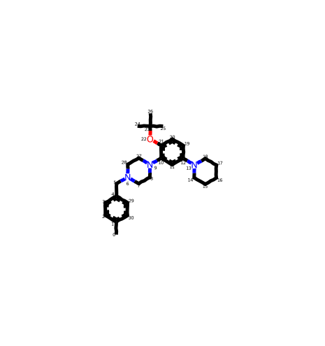 Cc1ccc(CN2CCN(c3cc(N4CCCCC4)ccc3OC(C)(C)C)CC2)cc1